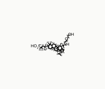 C=C(C)[C@@H]1CC[C@]2(CC(=O)NCCOCCO)CC[C@]3(C)[C@H](CCC4[C@@]5(C)CC[C@H](OC(=O)CC(C)(C)C(=O)O)C(C)(C)C5CC[C@]43C)[C@@H]12